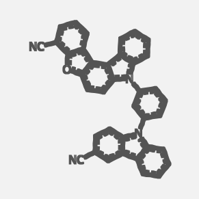 N#Cc1ccc2c(c1)c1ccccc1n2-c1cccc(-n2c3ccccc3c3c4c(ccc32)oc2c(C#N)cccc24)c1